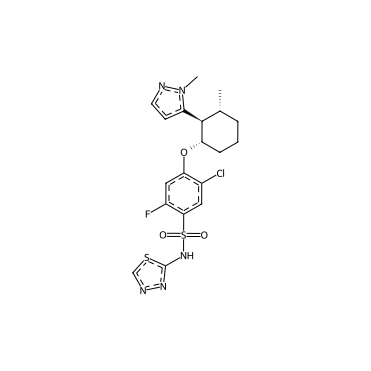 C[C@@H]1CCC[C@H](Oc2cc(F)c(S(=O)(=O)Nc3nncs3)cc2Cl)[C@H]1c1ccnn1C